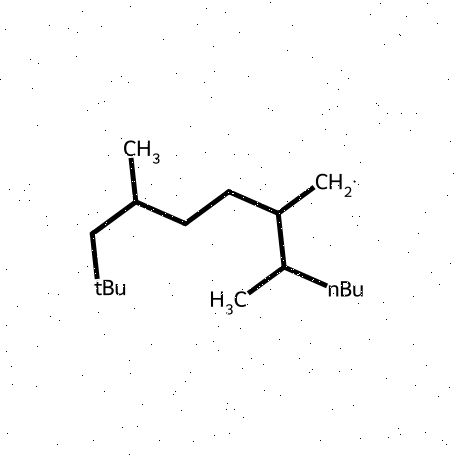 [CH2]C(CCC(C)CC(C)(C)C)C(C)CCCC